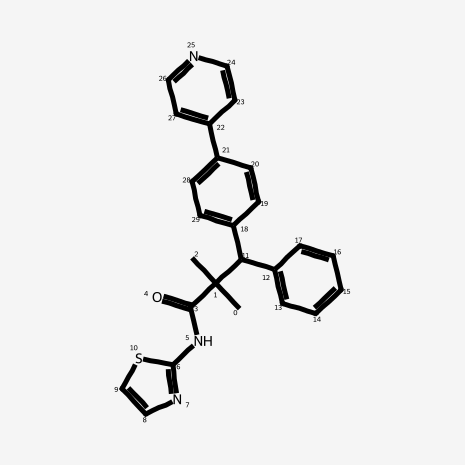 CC(C)(C(=O)Nc1nccs1)C(c1ccccc1)c1ccc(-c2ccncc2)cc1